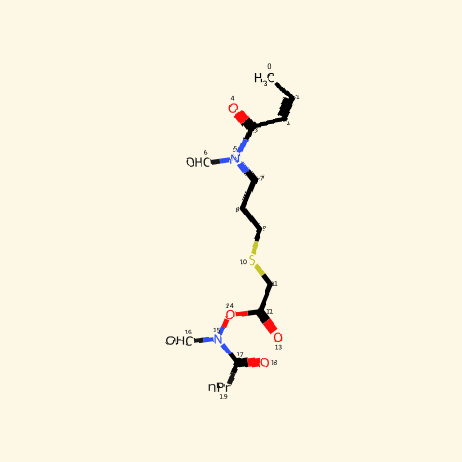 C/C=C\C(=O)N(C=O)CCCSCC(=O)ON(C=O)C(=O)CCC